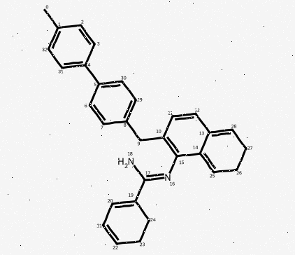 Cc1ccc(-c2ccc(Cc3ccc4c(c3/N=C(\N)C3=CC=CCC3)=CCCC=4)cc2)cc1